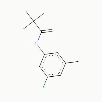 Cc1cc(Br)cc(NC(=O)C(C)(C)C)c1